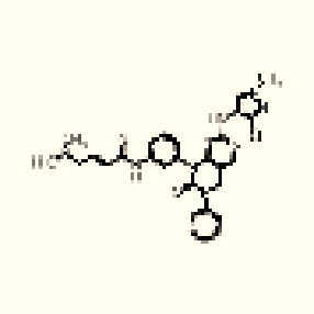 CN(C)C/C=C/C(=O)Nc1cccc(N2C(=O)N(c3ccccc3)Cc3cnc(Nc4cn(C)nc4Cl)nc32)c1